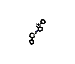 C(/CN1CCCC(c2ccccc2)C1)=C1/CCCc2c1cnn2-c1ccccc1